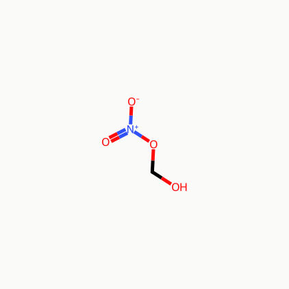 O=[N+]([O-])OCO